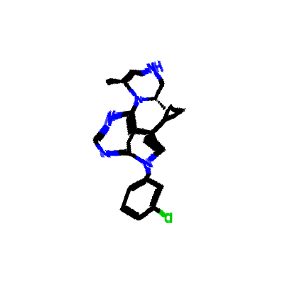 C[C@H]1CNC[C@H](C)N1c1ncnc2c1c(C1CC1)cn2-c1cccc(Cl)c1